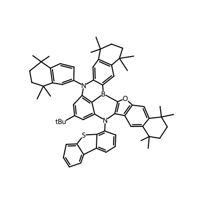 CC(C)(C)c1cc2c3c(c1)N(c1cccc4c1sc1ccccc14)c1c(oc4cc5c(cc14)C(C)(C)CCC5(C)C)B3c1cc3c(cc1N2c1ccc2c(c1)C(C)(C)CCC2(C)C)C(C)(C)CCC3(C)C